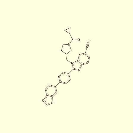 [C-]#[N+]c1ccc2nc(-c3ccc(-c4ccc5occc5c4)cc3)n(C[C@@H]3CCN(C(=O)C4CC4)C3)c2c1